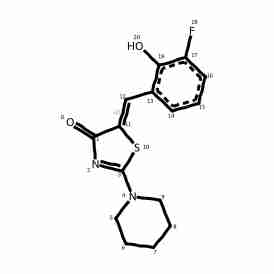 O=C1N=C(N2CCCCC2)S/C1=C\c1cccc(F)c1O